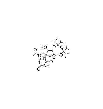 CC(=O)OC[C@@]1(n2ccc(=O)[nH]c2=O)C[C@@H]2COC(C(C)C)(C(C)C)OC(C(C)C)(C(C)C)OC2=C1O